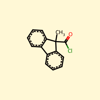 CC1(C(=O)Cl)c2ccccc2-c2ccccc21